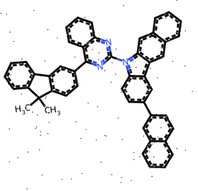 CC1(C)c2ccccc2-c2cc(-c3nc(-n4c5ccc(-c6ccc7ccccc7c6)cc5c5cc6ccccc6cc54)nc4ccccc34)ccc21